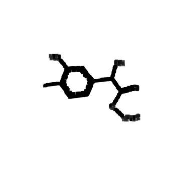 CCCCCOC(=O)C(O)c1ccc(C)c(O)c1